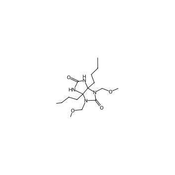 CCCCC12NC(=O)NC1(CCCC)N(COC)C(=O)N2COC